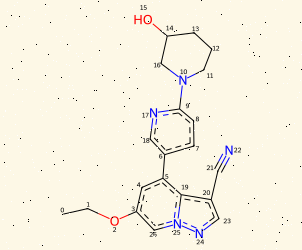 CCOc1cc(-c2ccc(N3CCCC(O)C3)nc2)c2c(C#N)cnn2c1